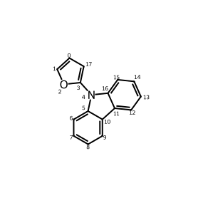 c1coc(-n2c3ccccc3c3ccccc32)c1